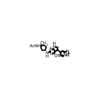 COc1nc(N[C@H]2CC[C@](C)(NC(C)=O)CC2)nc2[nH]cc(-c3ccn4ncnc4c3)c12